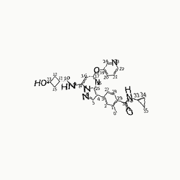 Cc1cc(-c2cnn3c(NC[C@H]4C[C@H](O)C4)cc(Oc4cccnc4)nc23)ccc1C(=O)NC1CC1